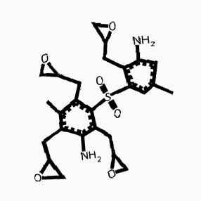 Cc1cc(N)c(CC2CO2)c(S(=O)(=O)c2c(CC3CO3)c(C)c(CC3CO3)c(N)c2CC2CO2)c1